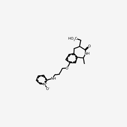 CC1NC(=O)C(CC(=O)O)Cc2ccc(OCCCNc3cccc[n+]3[O-])cc21